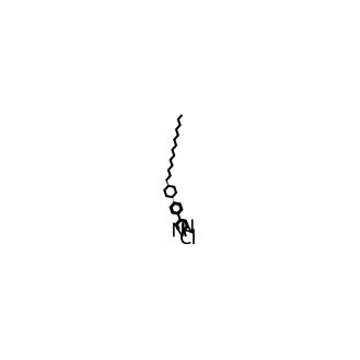 CCCCCCCCCCCCCC[C@H]1CC[C@H](c2ccc(-c3cnc(Cl)nc3)cc2)CC1